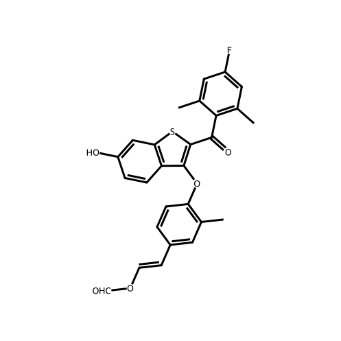 Cc1cc(/C=C/OC=O)ccc1Oc1c(C(=O)c2c(C)cc(F)cc2C)sc2cc(O)ccc12